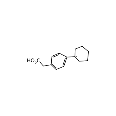 O=C(O)Cc1ccc([C]2CCCCC2)cc1